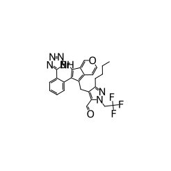 CCCCc1nn(CC(F)(F)F)c(C=O)c1Cc1c2ccocc-2c(Br)c1-c1ccccc1-c1nnn[nH]1